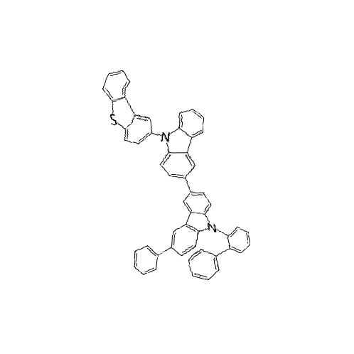 c1ccc(-c2ccc3c(c2)c2cc(-c4ccc5c(c4)c4ccccc4n5-c4ccc5sc6ccccc6c5c4)ccc2n3-c2ccccc2-c2ccccc2)cc1